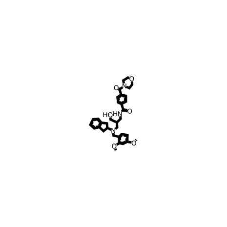 COc1ccc(CN(CC(CO)CNC(=O)c2ccc(C(=O)N3CCOCC3)cc2)C2Cc3ccccc3C2)c(OC)c1